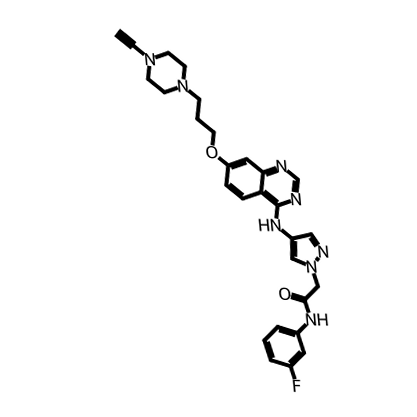 C#CN1CCN(CCCOc2ccc3c(Nc4cnn(CC(=O)Nc5cccc(F)c5)c4)ncnc3c2)CC1